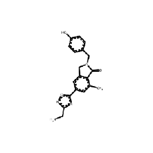 Cc1cc(-c2nc(CN)no2)cc2c1C(=O)N(Cc1ccc(O)cc1)C2